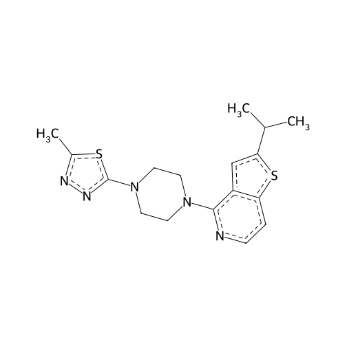 Cc1nnc(N2CCN(c3nccc4sc(C(C)C)cc34)CC2)s1